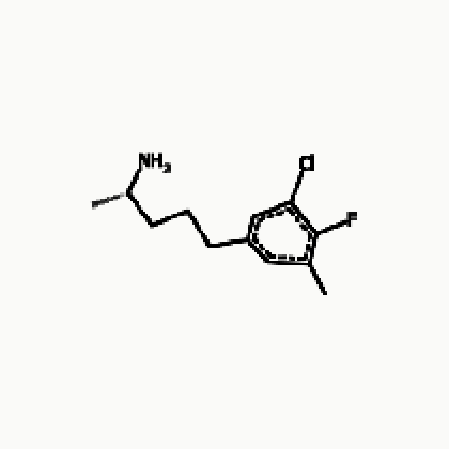 Cc1cc(CCC[C@H](C)N)cc(Cl)c1F